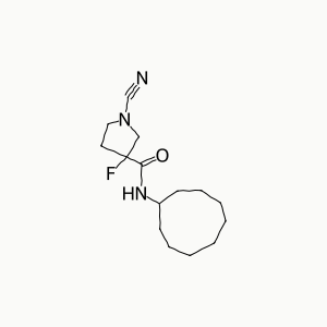 N#CN1CCC(F)(C(=O)NC2CCCCCCCC2)C1